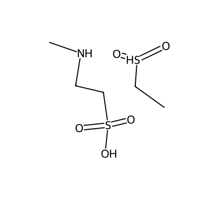 CC[SH](=O)=O.CNCCS(=O)(=O)O